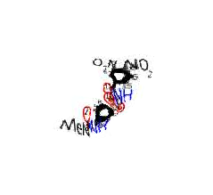 CNC(=O)Nc1ccc(S(=O)(=O)NC(=O)c2ccc([N+](=O)[O-])c([N+](=O)[O-])c2)cc1